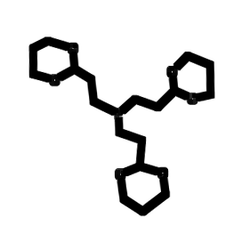 C1COC(CCP(CCC2OCCCO2)CCC2OCCCO2)OC1